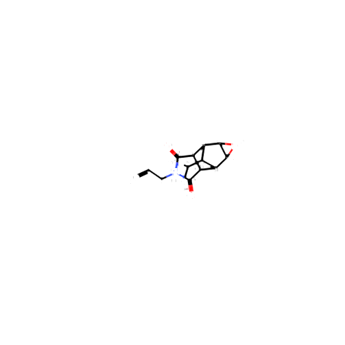 C=CCN1C(=O)C2C(C1=O)C1C3OC3C2C1C(C)C